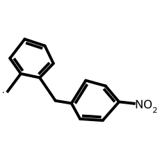 [CH2]c1ccccc1Cc1ccc([N+](=O)[O-])cc1